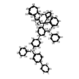 c1ccc(-c2ccc(N(c3ccccc3)c3ccc(-c4ccc5c(c4)[P@](c4ccccc4)c4ccccc4C54c5ccccc5-n5c6ccccc6c6cccc4c65)cc3)cc2)cc1